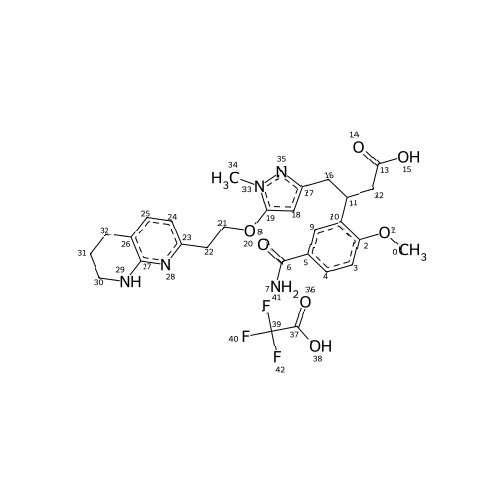 COc1ccc(C(N)=O)cc1C(CC(=O)O)Cc1cc(OCCc2ccc3c(n2)NCCC3)n(C)n1.O=C(O)C(F)(F)F